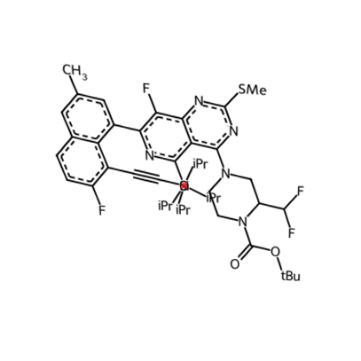 CSc1nc(N2CCN(C(=O)OC(C)(C)C)C(C(F)F)C2)c2c(OC(C)C)nc(-c3cc(C)cc4ccc(F)c(C#C[Si](C(C)C)(C(C)C)C(C)C)c34)c(F)c2n1